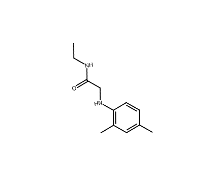 CCNC(=O)CNc1ccc(C)cc1C